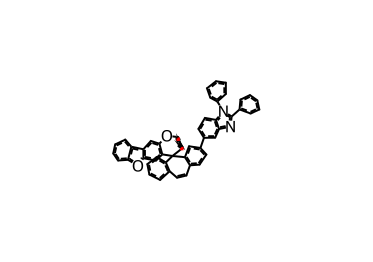 C1=Cc2ccc(-c3ccc4c(c3)nc(-c3ccccc3)n4-c3ccccc3)cc2C2(c3ccccc31)c1ccccc1Oc1cc3c(cc12)oc1ccccc13